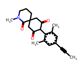 CC#Cc1cc(C)c(C2C(=O)CC3(CCCN(C)C3=O)CC2=O)c(C)c1